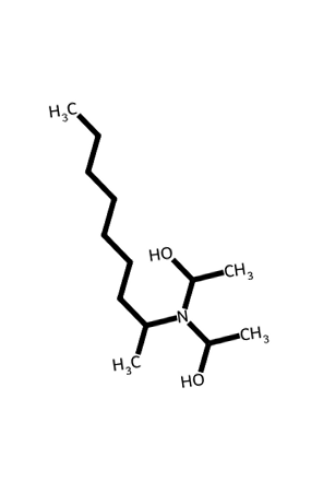 CCCCCCCC(C)N(C(C)O)C(C)O